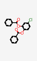 O=C(Oc1ccc(Cl)cc1OC(=O)c1ccccc1)c1ccccc1